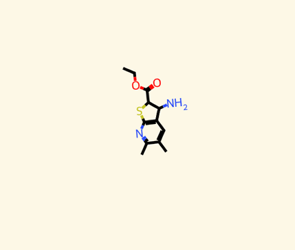 CCOC(=O)C1Sc2nc(C)c(C)cc2C1N